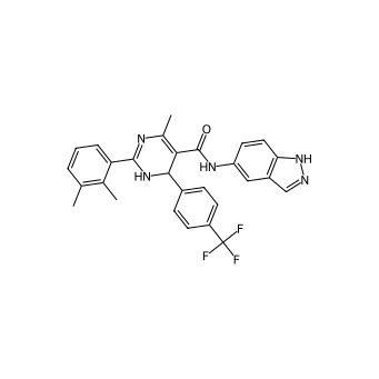 CC1=C(C(=O)Nc2ccc3[nH]ncc3c2)C(c2ccc(C(F)(F)F)cc2)NC(c2cccc(C)c2C)=N1